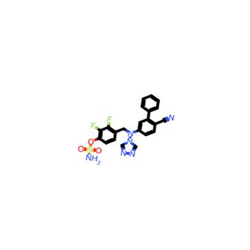 N#Cc1ccc(N(Cc2ccc(OS(N)(=O)=O)c(F)c2F)n2cnnc2)cc1-c1ccccc1